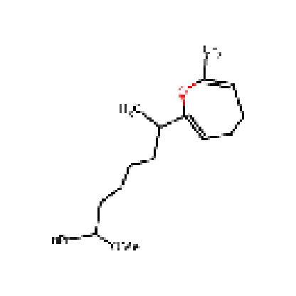 CCCC(CCCCC(C)C1=CCCC=C(C(F)(F)F)O1)OC